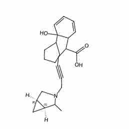 CC1[C@H]2C[C@H]2CN1CC#CCC(C(=O)O)C1C=CC=CC1(O)C1CCCC1